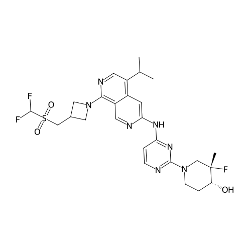 CC(C)c1cnc(N2CC(CS(=O)(=O)C(F)F)C2)c2cnc(Nc3ccnc(N4CC[C@@H](O)[C@@](C)(F)C4)n3)cc12